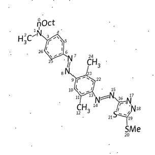 CCCCCCCCN(C)c1ccc(N=Nc2cc(C)c(N=Nc3nnc(SC)s3)cc2C)cc1